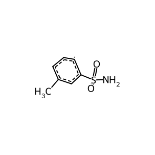 Cc1cc[c]c(S(N)(=O)=O)c1